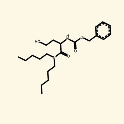 CCCCCN(CCCCC)C(=O)C(CCO)NC(=O)OCc1ccccc1